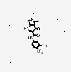 Cc1nsc2[nH]cc(C(=O)Nc3ccc(C(F)(F)F)c(O)c3)c(=O)c12